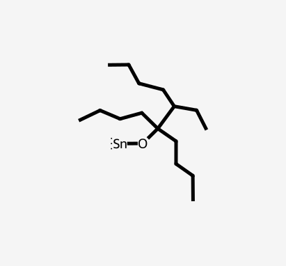 CCCCC(CC)C(CCCC)(CCCC)[O][Sn]